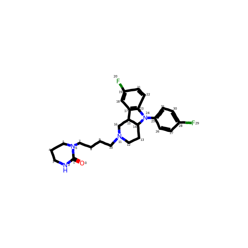 O=C1NCCCN1CCCCN1CCC2C(C1)c1cc(F)ccc1N2c1ccc(F)cc1